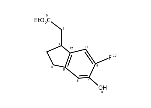 CCOC(=O)CC1CCc2cc(O)c(F)cc21